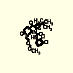 COCOCCN1CCN(C(=O)c2cc(C(C)(C)C)sc2NC(=O)Nc2cccc(Cl)c2Cl)CCC1=O